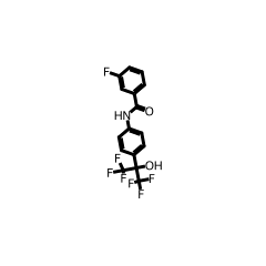 O=C(Nc1ccc(C(O)(C(F)(F)F)C(F)(F)F)cc1)c1cccc(F)c1